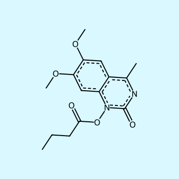 CCCC(=O)On1c(=O)nc(C)c2cc(OC)c(OC)cc21